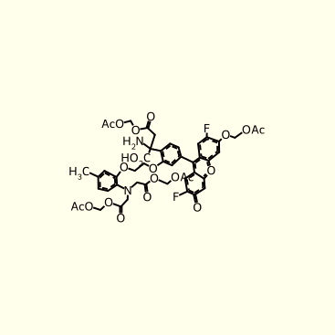 CC(=O)OCOC(=O)CN(CC(=O)OCOC(C)=O)c1ccc(C)cc1OCCOc1cc(-c2c3cc(F)c(=O)cc-3oc3cc(OCOC(C)=O)c(F)cc23)ccc1C(N)(CC(=O)OCOC(C)=O)C(=O)O